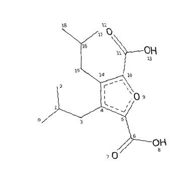 CC(C)Cc1c(C(=O)O)oc(C(=O)O)c1CC(C)C